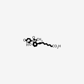 Cn1c(=O)n(C2CCC(=O)NC2=O)c2cccc(C#CCCCCCCC(=O)O)c21